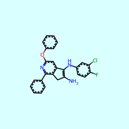 NC1=C(Nc2ccc(F)c(Cl)c2)c2cc(Oc3ccccc3)nc(-c3ccccc3)c2C1